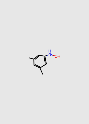 Cc1cc(C)cc(NO)c1